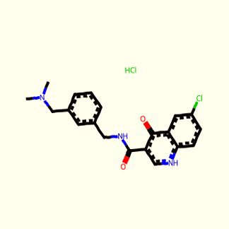 CN(C)Cc1cccc(CNC(=O)c2c[nH]c3ccc(Cl)cc3c2=O)c1.Cl